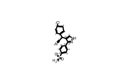 N#CC(c1ccc(Cl)cc1)c1c[nH]nc1-c1ccc(S(N)(=O)=O)cc1